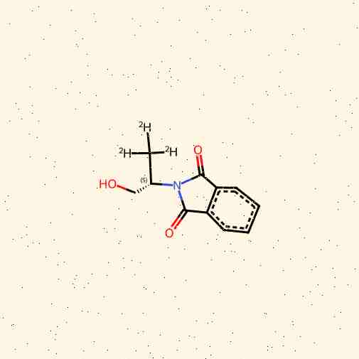 [2H]C([2H])([2H])[C@@H](CO)N1C(=O)c2ccccc2C1=O